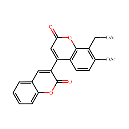 CC(=O)OCc1c(OC(C)=O)ccc2c(-c3cc4ccccc4oc3=O)cc(=O)oc12